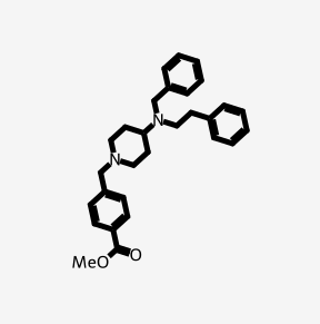 COC(=O)c1ccc(CN2CCC(N(CCc3ccccc3)Cc3ccccc3)CC2)cc1